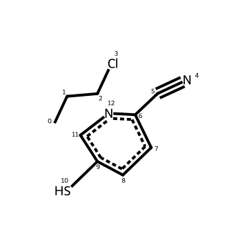 CCCCl.N#Cc1ccc(S)cn1